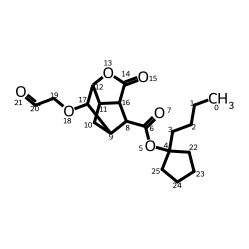 CCCCC1(OC(=O)C2C3CC4C(OC(=O)C42)C3OC[C]=O)CCCC1